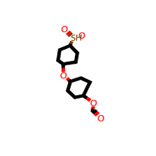 O=COC1CCC(OC2CCC([SH](=O)=O)CC2)CC1